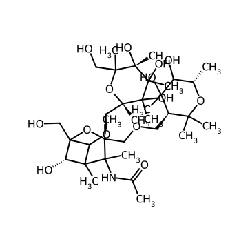 CC(=O)NC1(C)C2(C)C(OC[C@]3(C)OC(C)(CO)[C@](C)(O)C(C)(O)C3(C)O)C(CO)(O[C@]1(C)COC[C@@H]1C(C)(C)O[C@@H](C)C(O)C1(C)O)[C@H]2O